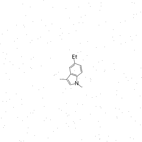 CCc1ccc2c(c1)c(C)cn2C